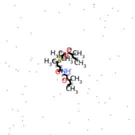 CC=CC(C)C(=O)CCNC(=O)CCC(C)SSC(C)(C)COC(=O)C(C)CCC